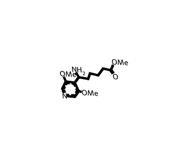 COC(=O)CCCCC(N)c1c(OC)cncc1OC